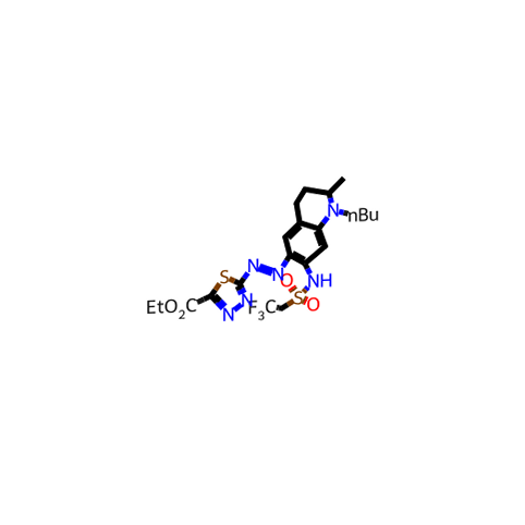 CCCCN1c2cc(NS(=O)(=O)CC(F)(F)F)c(N=Nc3nnc(C(=O)OCC)s3)cc2CCC1C